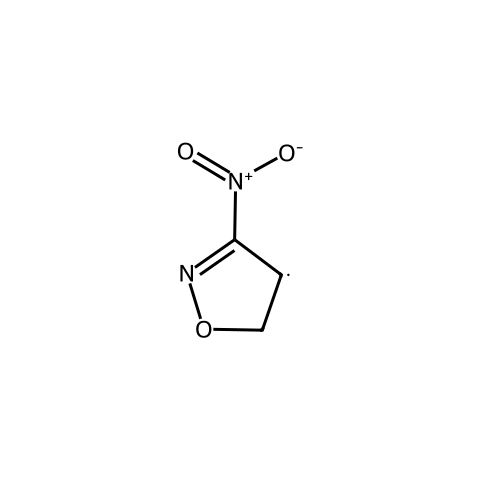 O=[N+]([O-])C1=NOC[CH]1